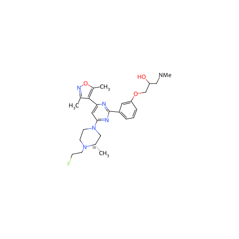 CNCC(O)COc1cccc(-c2nc(-c3c(C)noc3C)cc(N3CCN(CCF)[C@@H](C)C3)n2)c1